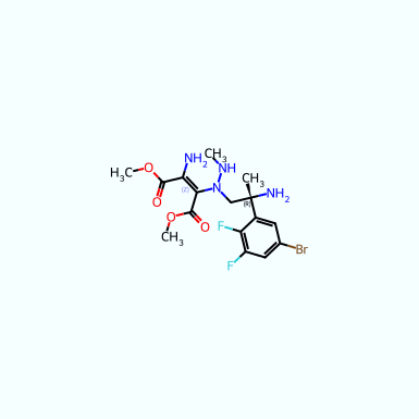 CNN(C[C@](C)(N)c1cc(Br)cc(F)c1F)/C(C(=O)OC)=C(\N)C(=O)OC